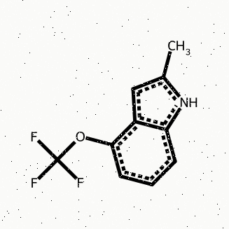 Cc1cc2c(OC(F)(F)F)cccc2[nH]1